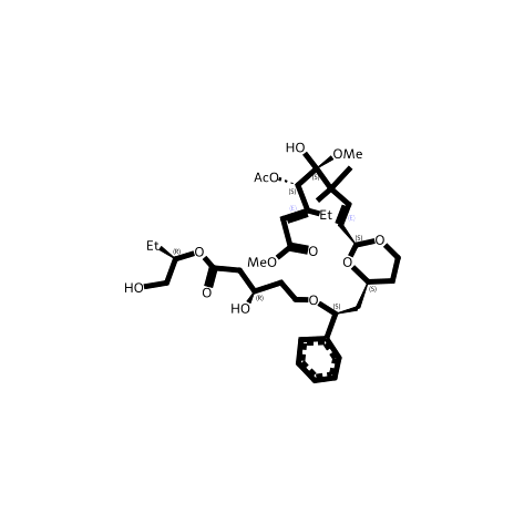 CC/C(=C\C(=O)OC)[C@H](OC(C)=O)[C@@](O)(OC)C(C)(C)/C=C/[C@H]1OCC[C@@H](C[C@H](OCC[C@@H](O)CC(=O)O[C@H](CC)CO)c2ccccc2)O1